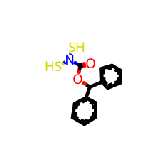 O=C(OC(c1ccccc1)c1ccccc1)N(S)S